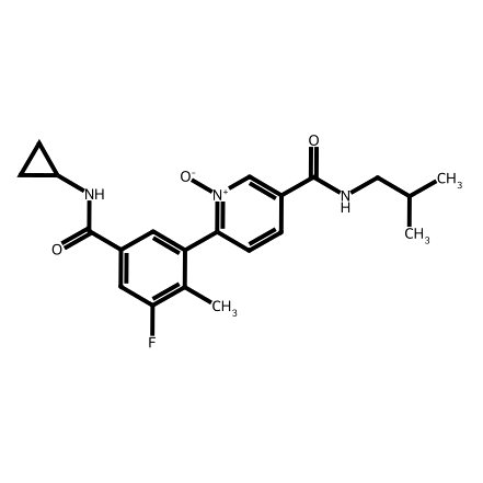 Cc1c(F)cc(C(=O)NC2CC2)cc1-c1ccc(C(=O)NCC(C)C)c[n+]1[O-]